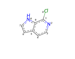 Clc1nccc2c[c][nH]c12